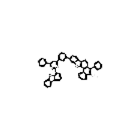 Cc1c(-c2ccccc2)c2ccc3c4ccc(-c5cccc(-c6cc(-c7ccccc7)nc(-c7cccc8c7oc7ccccc78)n6)c5)cc4oc3c2c2ccccc12